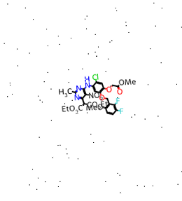 CCOC(=O)C(C(=O)OCC)c1nc(C)nc(Nc2cc(OCc3c(OC)ccc(F)c3F)c(OCC(=O)OC)cc2Cl)c1[N+](=O)[O-]